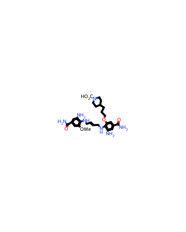 COc1cc(C(N)=O)cc(N)c1NCC=CCNc1c(N)cc(C(N)=O)cc1OCCCC1CCN(C(=O)O)CC1